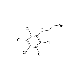 Clc1c(Cl)c(Cl)c(OCCBr)c(Cl)c1Cl